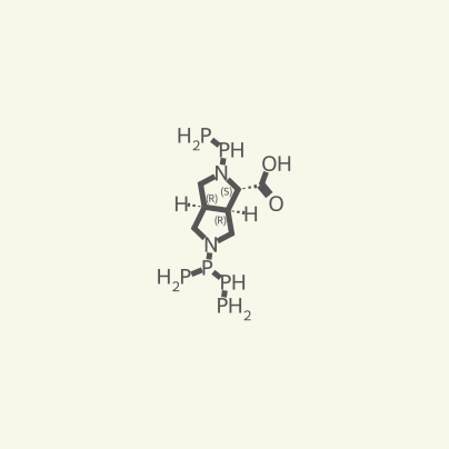 O=C(O)[C@@H]1[C@H]2CN(P(P)PP)C[C@H]2CN1PP